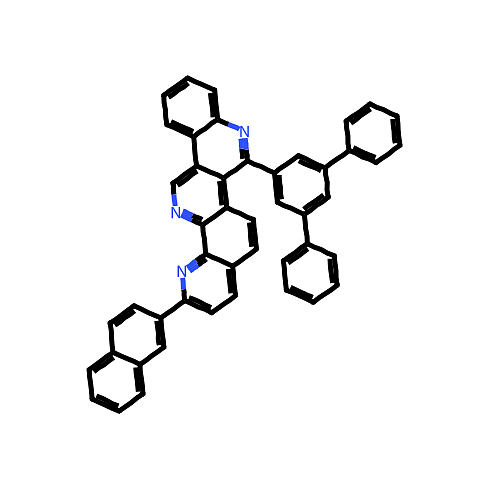 c1ccc(-c2cc(-c3ccccc3)cc(-c3nc4ccccc4c4cnc5c(ccc6ccc(-c7ccc8ccccc8c7)nc65)c34)c2)cc1